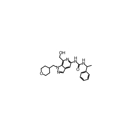 CC(NC(=O)Nc1cc2cnn(CC3CCOCC3)c2c(CO)n1)c1ccccc1